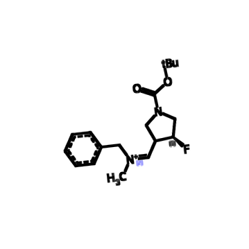 C/[N+](=C/C1CN(C(=O)OC(C)(C)C)C[C@H]1F)Cc1ccccc1